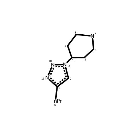 CCCc1cn(C2CC[N]CC2)nn1